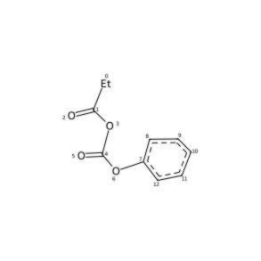 CCC(=O)OC(=O)Oc1ccccc1